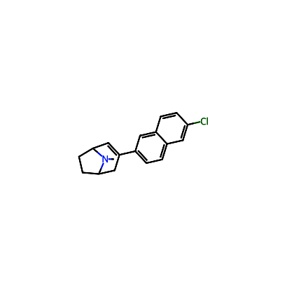 CN1C2C=C(c3ccc4cc(Cl)ccc4c3)CC1CC2